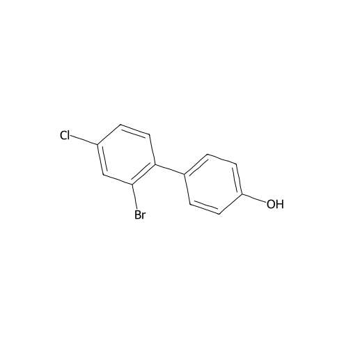 Oc1ccc(-c2ccc(Cl)cc2Br)cc1